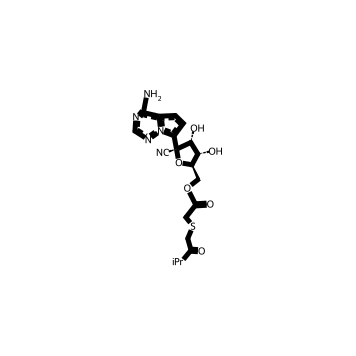 CC(C)C(=O)CSCC(=O)OC[C@H]1O[C@@](C#N)(c2ccc3c(N)ncnn23)[C@H](O)[C@@H]1O